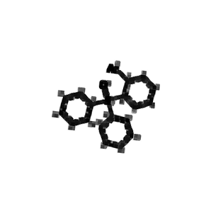 CC(=O)c1ccccc1[S+](=O)(c1ccccc1)c1ccccc1